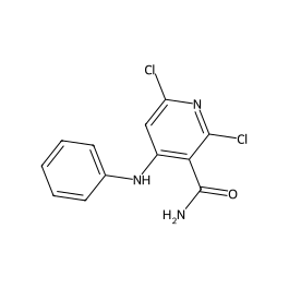 NC(=O)c1c(Nc2ccccc2)cc(Cl)nc1Cl